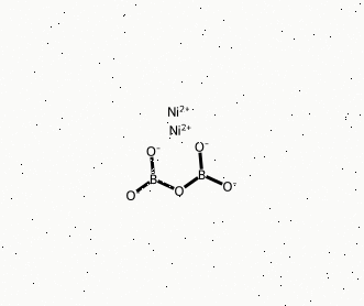 [Ni+2].[Ni+2].[O-]B([O-])OB([O-])[O-]